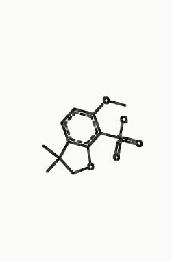 COc1ccc2c(c1S(=O)(=O)Cl)OCC2(C)C